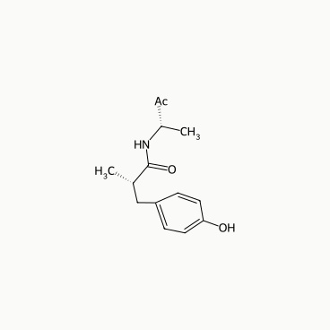 CC(=O)[C@H](C)NC(=O)[C@@H](C)Cc1ccc(O)cc1